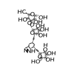 C#C[C@H]1O[C@H](CO)[C@@H](O)[C@H](OOC[C@H]2O[C@H](C#Cc3cc(C#C[C@H]4O[C@H](CO)[C@@H](O)[C@H](O)[C@@H]4O)c4[nH]ncc4c3)[C@@H](O)[C@@H](O)[C@@H]2O)[C@@H]1O